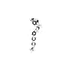 CCc1cc(Nc2ncc(Br)c(Nc3ccc4nccnc4c3[PH](C)(C)OC)n2)c(OC)cc1N1CCC(N2CCN(CCS(C)(=O)=O)CC2)CC1